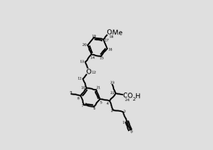 C#CCCC(c1ccc(C)c(COCc2ccc(OC)cc2)c1)C(C)C(=O)O